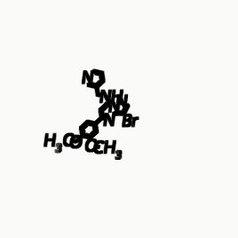 COc1ccc(-c2cc(NCc3cccnc3)n3ncc(Br)c3n2)cc1OC